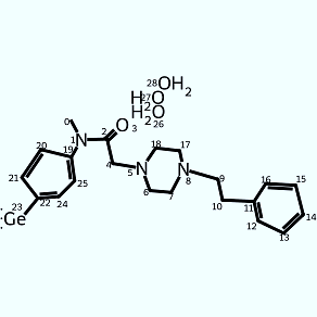 CN(C(=O)CN1CCN(CCc2ccccc2)CC1)c1cc[c]([Ge])cc1.O.O.O